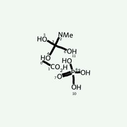 CC(=O)O.CNC(O)(O)O.O=P(O)(O)O